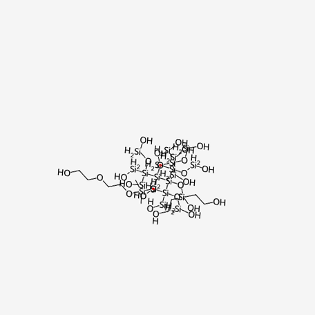 C[Si](C)(OCCOCCO)O[Si](O[Si](O[SiH2]O)([SiH2]O)[SiH2]O)([Si](O[SiH2]O)([SiH2]O)[SiH2]O)[Si](O[Si](O)(CCO)CCO)([Si](O[SiH2]O)([SiH2]O)[SiH2]O)[Si](O[SiH2]O)([SiH2]O)[SiH2]O